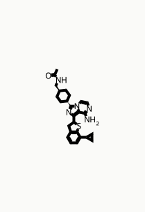 CC(=O)NC[C@H]1CC[C@H](c2nc(C3Cc4cccc(C5CC5)c4S3)c3c(N)nccn32)CC1